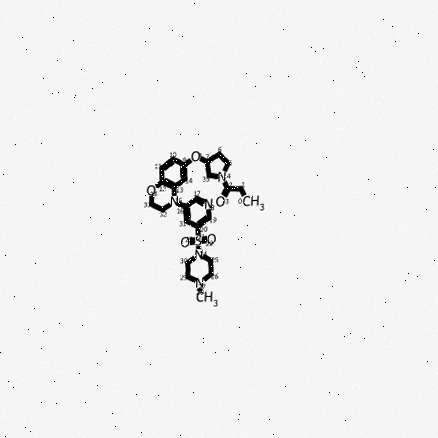 CCC(=O)N1CCC(Oc2ccc3c(c2)N(c2cncc(S(=O)(=O)N4CCN(C)CC4)c2)CCO3)C1